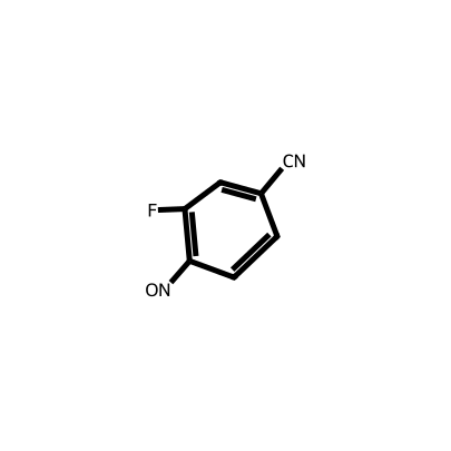 N#Cc1ccc(N=O)c(F)c1